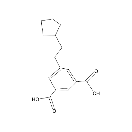 O=C(O)c1cc(CCC2CCCC2)cc(C(=O)O)c1